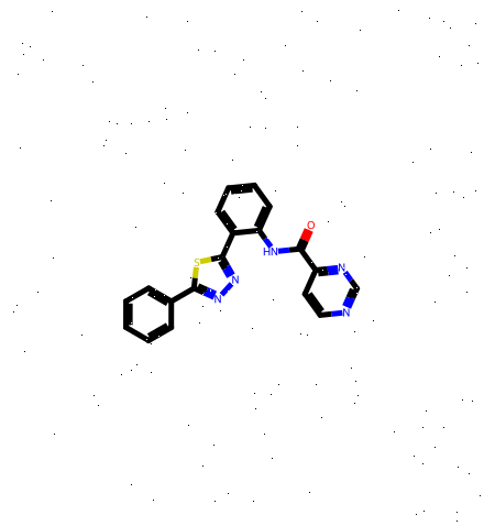 O=C(Nc1ccccc1-c1nnc(-c2ccccc2)s1)c1ccncn1